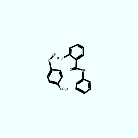 CCOc1ccc(C(=O)O)cc1.O=C(O)c1ccccc1C(=O)Nc1ccccc1